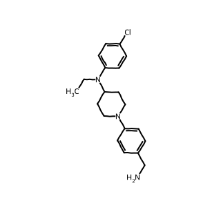 CCN(c1ccc(Cl)cc1)C1CCN(c2ccc(CN)cc2)CC1